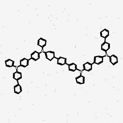 C1=CC(c2ccc(-c3ccc(N(c4ccccc4)c4ccc(-c5ccc(N(c6ccccc6)c6ccc(-c7ccccc7)cc6)cc5)cc4)cc3)cc2)CC=C1N(c1ccccc1)c1ccc(-c2ccc(N(c3ccccc3)c3ccc(-c4ccccc4)cc3)cc2)cc1